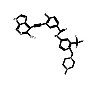 Cc1ccc(C(=O)Nc2ccc(CN3CCN(C)CC3)c(C(F)(F)F)c2)cc1C#Cc1c(N)ncc2[nH]ccc12